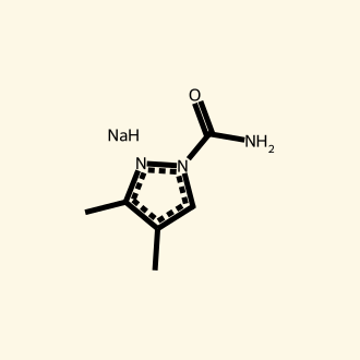 Cc1cn(C(N)=O)nc1C.[NaH]